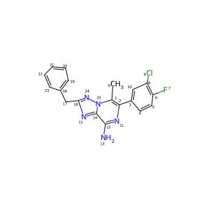 Cc1c(-c2ccc(F)c(Cl)c2)nc(N)c2nc(Cc3ccccc3)nn12